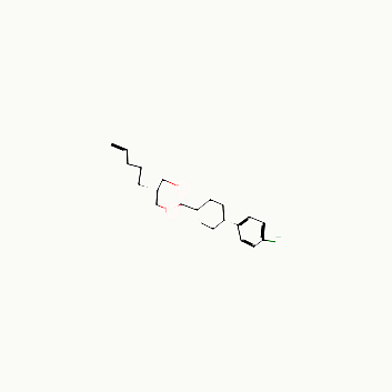 C=CCCC[C@H]1CO[C@H]([C@H]2CC[C@H](c3ccc(F)cc3)CC2)OC1